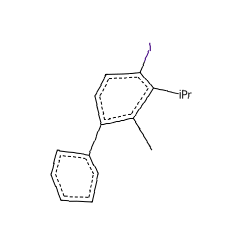 Cc1c(-c2ccccc2)ccc(I)c1C(C)C